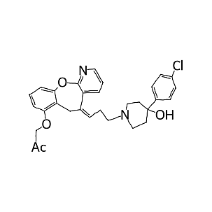 CC(=O)COc1cccc2c1C/C(=C/CCN1CCC(O)(c3ccc(Cl)cc3)CC1)c1cccnc1O2